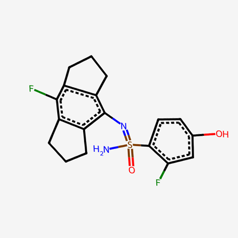 NS(=O)(=Nc1c2c(c(F)c3c1CCC3)CCC2)c1ccc(O)cc1F